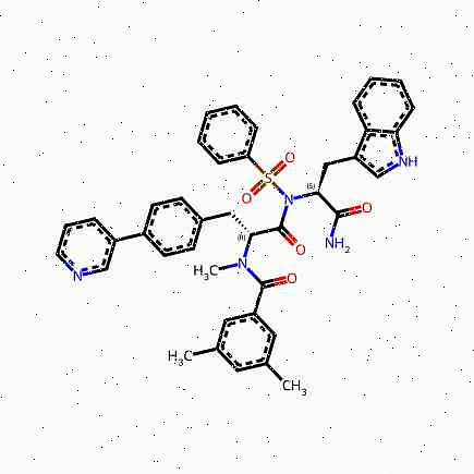 Cc1cc(C)cc(C(=O)N(C)[C@H](Cc2ccc(-c3cccnc3)cc2)C(=O)N([C@@H](Cc2c[nH]c3ccccc23)C(N)=O)S(=O)(=O)c2ccccc2)c1